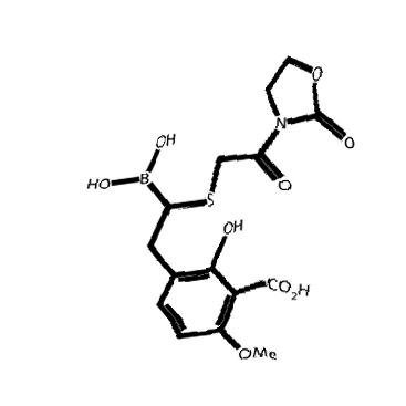 COc1ccc(CC(SCC(=O)N2CCOC2=O)B(O)O)c(O)c1C(=O)O